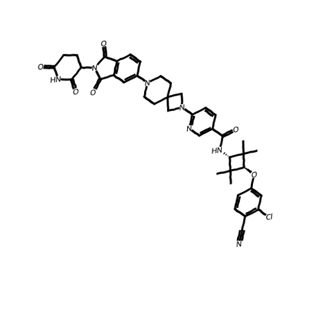 CC1(C)[C@H](NC(=O)c2ccc(N3CC4(CCN(c5ccc6c(c5)C(=O)N(C5CCC(=O)NC5=O)C6=O)CC4)C3)nc2)C(C)(C)[C@H]1Oc1ccc(C#N)c(Cl)c1